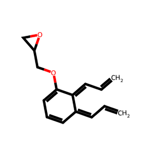 C=C/C=c1/cccc(OCC2CO2)/c1=C/C=C